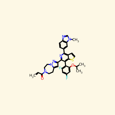 C=CC(=O)N1CCc2cc(-c3nc(-c4ccc5ncn(C)c5c4)c4ccsc4c3-c3c(F)cc(F)cc3OC(C)C)nn2CC1